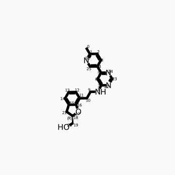 Cc1ccc(-c2cc(NCCc3cccc4c3O[C@@H](CO)C4)ncn2)cn1